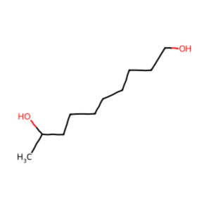 CC(O)CCCCCCCCO